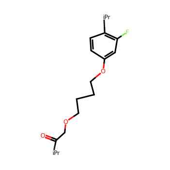 CC(C)C(=O)COCCCCOc1ccc(C(C)C)c(F)c1